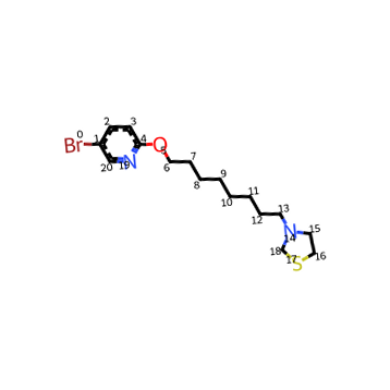 Brc1ccc(OCCCCCCCCN2CCSC2)nc1